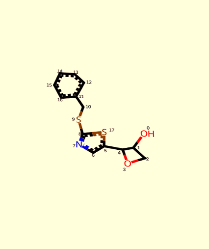 OC1COC1c1cnc(SCc2ccccc2)s1